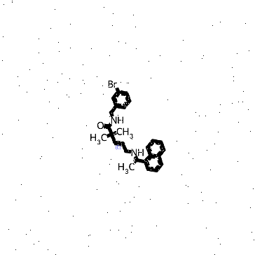 C[C@@H](NC/C=C/C(C)(C)C(=O)NCc1cccc(Br)c1)c1cccc2ccccc12